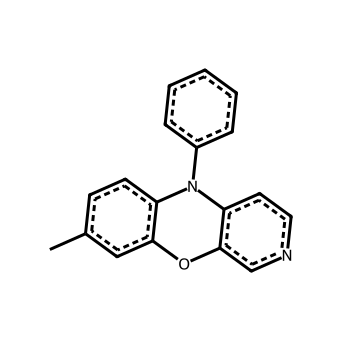 Cc1ccc2c(c1)Oc1cnccc1N2c1ccccc1